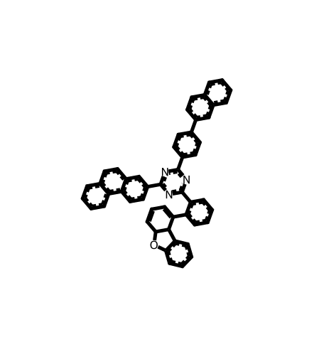 C1=CC2Oc3ccccc3C2C(c2ccccc2-c2nc(-c3ccc(-c4ccc5ccccc5c4)cc3)nc(-c3ccc4c(ccc5ccccc54)c3)n2)=C1